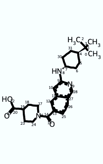 CC(C)(C)[C@H]1CC[C@H](Nc2cc3cc(C(=O)N4CCC(C(=O)O)CC4)ccc3cn2)CC1